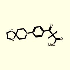 COC(=O)C(C)(C)C(=O)c1ccc(N2CCC3(CC2)OCCO3)cc1